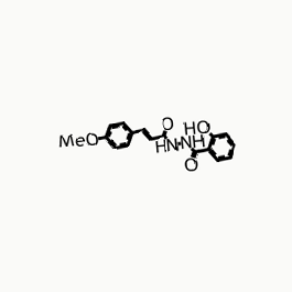 COc1ccc(C=CC(=O)NNC(=O)c2ccccc2O)cc1